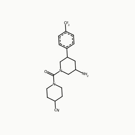 N#CC1CCN(C(=O)N2CC(N)CC(c3ccc(C(F)(F)F)cc3)C2)CC1